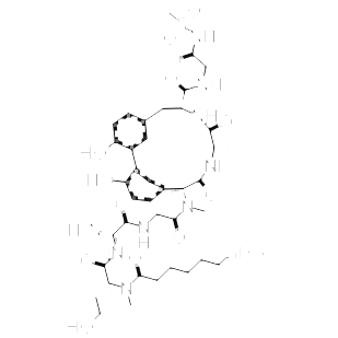 CCCCCCCCCCCCCCCC(=O)N(C)[C@H](CCO)C(=O)N[C@H](N)C(=O)NCC(=O)N(C)[C@@H]1C(=O)N[C@@H](C)C(=O)N[C@H](C(=O)N[C@@H](C)C(=O)NS(C)(=O)=O)Cc2ccc(O)c(c2)-c2cc1ccc2O